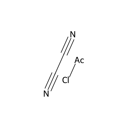 CC(=O)Cl.N#CC#N